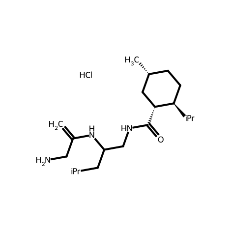 C=C(CN)NC(CNC(=O)[C@@H]1C[C@H](C)CC[C@H]1C(C)C)CC(C)C.Cl